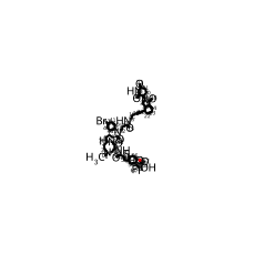 CCN1CC[C@H]2CC[C@@H](C(=O)N(CCC(=O)NCCC#Cc3cccc4c3CN(C3CCC(=O)NC3=O)C4=O)c3ccc(Br)cc3)N2C(=O)[C@@H](NC(=O)c2cc3cc(C(F)(F)P(=O)(O)O)ccc3s2)C1